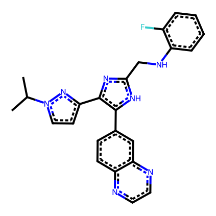 CC(C)n1ccc(-c2nc(CNc3ccccc3F)[nH]c2-c2ccc3nccnc3c2)n1